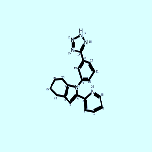 c1ccc(-c2cc3c(n2-c2cccc(-c4nn[nH]n4)c2)CCCC3)nc1